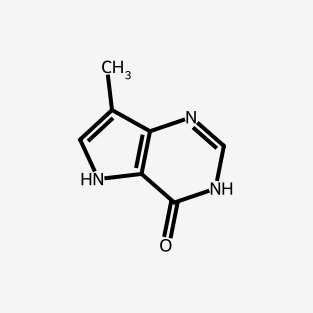 Cc1c[nH]c2c(=O)[nH]cnc12